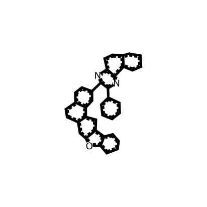 c1ccc(-c2nc3c(ccc4ccccc43)nc2-c2ccc3ccc4cc5oc6ccccc6c5cc4c3c2)cc1